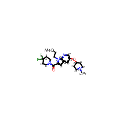 COCCn1c(C(=O)N2CCC(F)(F)CC2)cc2cc(OC3CCN(C(C)C)CC3)cnc21